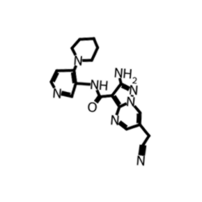 N#CCc1cnc2c(C(=O)Nc3cnccc3N3CCCCC3)c(N)nn2c1